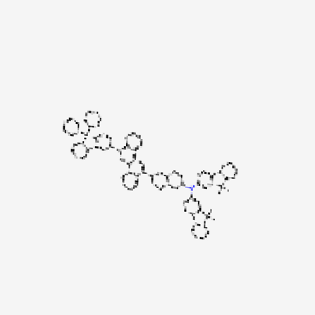 CC1(C)c2ccccc2-c2ccc(N(c3ccc4c(c3)C(C)(C)c3ccccc3-4)c3ccc4cc(-c5cc6c7ccccc7c(-c7ccc8c(c7)-c7ccccc7C8(c7ccccc7)c7ccccc7)cc6c6ccccc56)ccc4c3)cc21